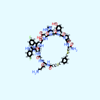 NCCCC[C@H]1NC(=O)CCSCc2cccc(c2)CSC[C@@H](C(N)=O)NC(=O)[C@@H]2CCCN2C(=O)[C@H](Cc2ccc(O)cc2)NC(=O)[C@H](Cc2c[nH]cn2)NC(=O)[C@H](CC(=O)O)NC(=O)[C@H](Cc2c[nH]c3ccc(F)cc23)NC(=O)[C@H](CCc2c[nH]c3ccc(F)cc23)NC(=O)CNC1=O